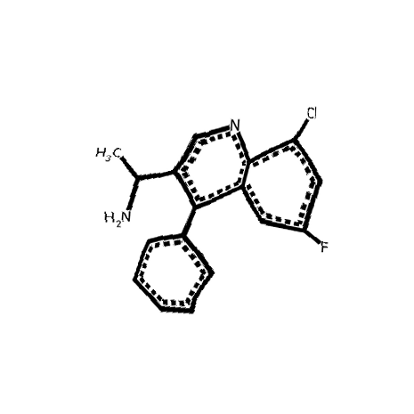 CC(N)c1cnc2c(Cl)cc(F)cc2c1-c1ccccc1